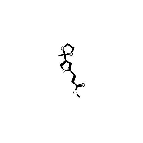 COC(=O)C=Cc1cc(C2(C)OCCO2)cs1